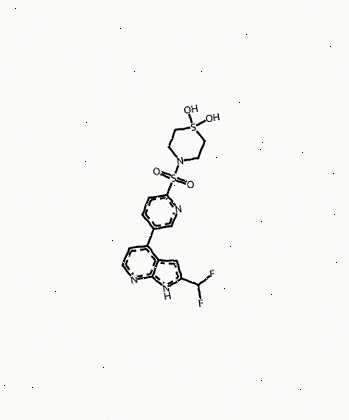 O=S(=O)(c1ccc(-c2ccnc3[nH]c(C(F)F)cc23)cn1)N1CCS(O)(O)CC1